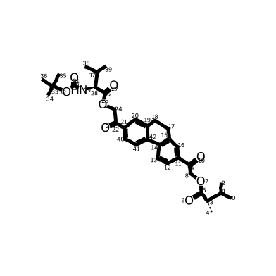 CC(C)[C@H](C)C(=O)OCC(=O)c1ccc2c(c1)CCc1cc(C(=O)COC(=O)[C@@H](NC(=O)OC(C)(C)C)C(C)C)ccc1-2